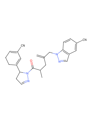 C=C(CC(C)C(=O)N1N=CCC1C1=CC(C#N)=CCC1)Cn1ncc2cc(C#N)ccc21